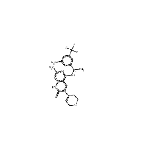 Cc1nc(N[C@H](C)c2cc(N)cc(C(F)(F)F)c2)c2cc(C3=CCOCC3)c(=O)[nH]c2n1